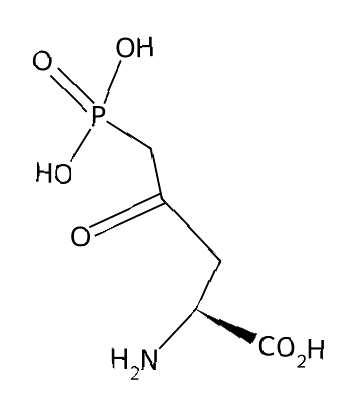 N[C@@H](CC(=O)CP(=O)(O)O)C(=O)O